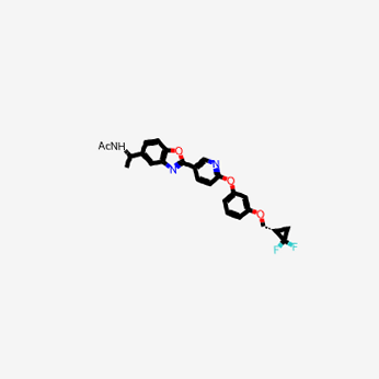 CC(=O)NC(C)c1ccc2oc(-c3ccc(Oc4cccc(OC[C@@H]5CC5(F)F)c4)nc3)nc2c1